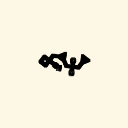 N#CC1(CC2CC2CS(=O)(=O)CC2CC2)CCC1